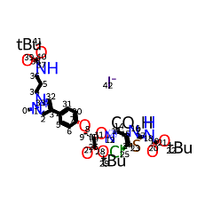 C[n+]1cc(-c2ccc(OC[C@H](O/N=C(\C(=O)O)c3nc(NC(=O)OC(C)(C)C)sc3Cl)C(=O)OC(C)(C)C)cc2)cn1CCCNC(=O)OC(C)(C)C.[I-]